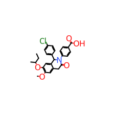 CCC(C)Oc1cc2c(cc1OC)CC(=O)N(c1ccc(C(=O)O)cc1)C2c1ccc(Cl)cc1